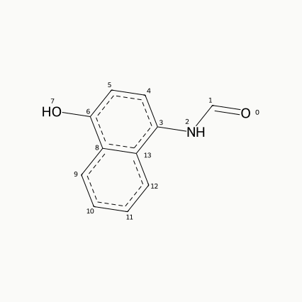 O=CNc1ccc(O)c2ccccc12